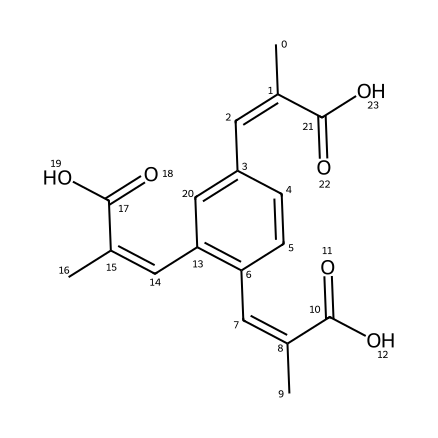 CC(=Cc1ccc(C=C(C)C(=O)O)c(C=C(C)C(=O)O)c1)C(=O)O